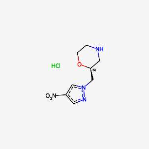 Cl.O=[N+]([O-])c1cnn(C[C@@H]2CNCCO2)c1